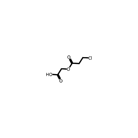 O=C(O)COC(=O)CCCl